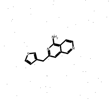 Nc1nc(Cc2ccsc2)cc2cnccc12